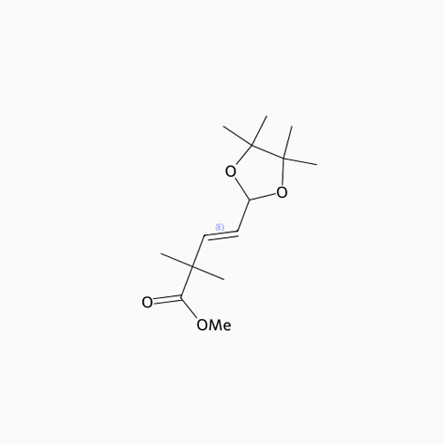 COC(=O)C(C)(C)/C=C/C1OC(C)(C)C(C)(C)O1